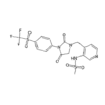 CS(=O)(=O)Nc1cnccc1CN1CC(=O)N(c2ccc(S(=O)(=O)C(F)(F)F)cc2)C1=O